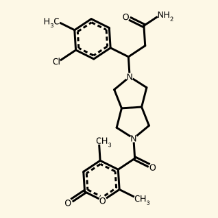 Cc1ccc(C(CC(N)=O)N2CC3CN(C(=O)c4c(C)cc(=O)oc4C)CC3C2)cc1Cl